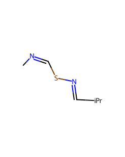 C/N=C\S/N=C/C(C)C